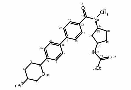 CCCC1CCC(c2ccc(-c3ccc(C(=O)N(C)[C@H]4CCC(NC(=O)CC)C4)cc3)cc2)OC1